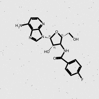 Nc1ccnc2c1ncn2[C@@H]1O[C@H](CO)C(NC(=O)c2ccc(F)cc2)[C@@H]1O